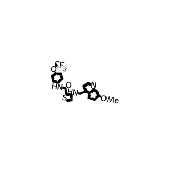 COc1ccc2c(CNc3ccsc3C(=O)Nc3ccc(OC(F)(F)F)cc3)ccnc2c1